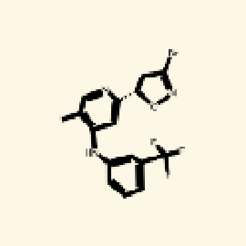 Cc1cnc([C@@H]2CC(Br)=NO2)cc1Nc1cccc(C(F)(F)F)c1